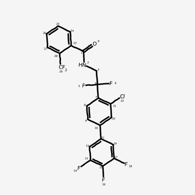 O=C(NCC(F)(F)c1ccc(-c2cc(F)c(F)c(F)c2)cc1Cl)c1ccccc1C(F)(F)F